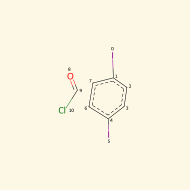 Ic1ccc(I)cc1.O=CCl